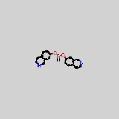 B(Oc1ccc2ccncc2c1)Oc1ccc2ccncc2c1